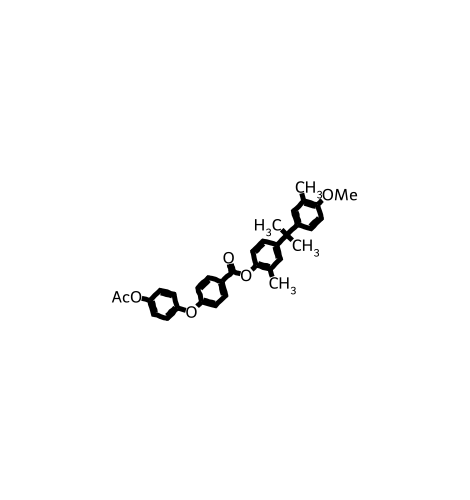 COc1ccc(C(C)(C)c2ccc(OC(=O)c3ccc(Oc4ccc(OC(C)=O)cc4)cc3)c(C)c2)cc1C